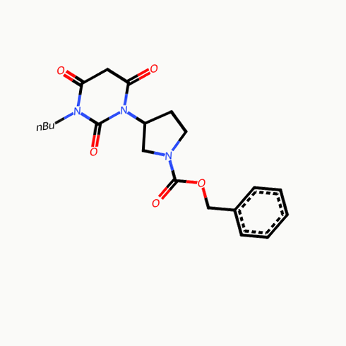 CCCCN1C(=O)CC(=O)N(C2CCN(C(=O)OCc3ccccc3)C2)C1=O